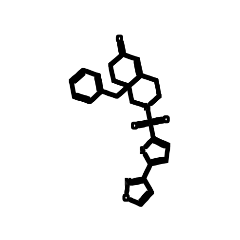 O=C1C=C2CCN(S(=O)(=O)c3ccc(-c4ccon4)s3)CC2(Cc2ccccc2)CC1